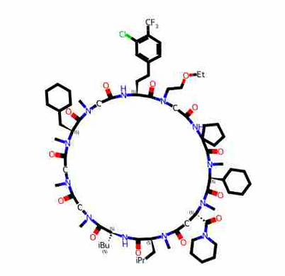 CCOCCN1CC(=O)NC2(CCCC2)C(=O)N(C)[C@@H](C2CCCCC2)C(=O)N(C)[C@H](C(=O)N2CCCCC2)CC(=O)N(C)[C@@H](CC(C)C)C(=O)N[C@@H]([C@@H](C)CC)C(=O)N(C)CC(=O)N(C)CC(=O)N(C)[C@@H](CC2CCCCC2)C(=O)N(C)CC(=O)N[C@@H](CCc2ccc(C(F)(F)F)c(Cl)c2)C1=O